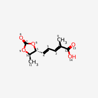 C/C(=C\C=C\[C@H]1OC(=O)O[C@@H]1C)C(=O)O